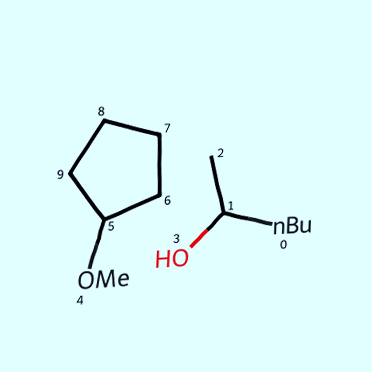 CCCCC(C)O.COC1CCCC1